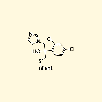 CCCCCSCC(O)(Cn1ccnc1)c1ccc(Cl)cc1Cl